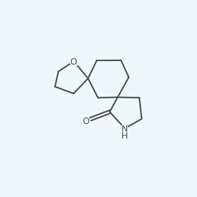 O=C1NCCC12CCCC1(CCCO1)C2